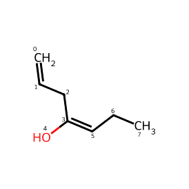 C=CC/C(O)=C\CC